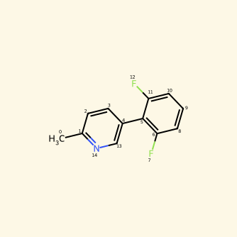 Cc1ccc(-c2c(F)cccc2F)cn1